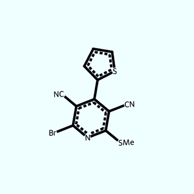 CSc1nc(Br)c(C#N)c(-c2cccs2)c1C#N